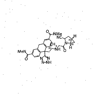 CNC(=O)c1ccc2c(c1)Cc1cc(C(=O)NC)ccc1C2(C[C@H](C)NCC(=O)N1C(C#N)C[C@@H]2C[C@@H]21)c1nn[nH]n1